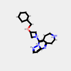 c1cc2nc3c(c(N4CC(OCC5CCCCC5)C4)n2n1)CCNCC3